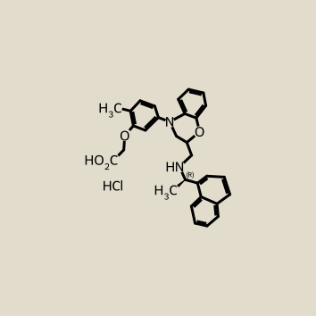 Cc1ccc(N2CC(CN[C@H](C)c3cccc4ccccc34)Oc3ccccc32)cc1OCC(=O)O.Cl